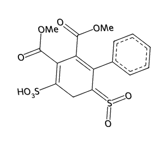 COC(=O)C1=C(c2ccccc2)C(=S(=O)=O)CC(S(=O)(=O)O)=C1C(=O)OC